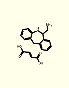 NCC1Nc2ccccc2Cc2ccccc21.O=C(O)/C=C/C(=O)O